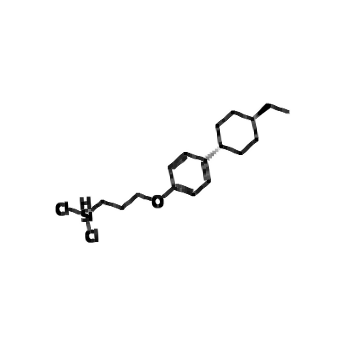 CC[C@H]1CC[C@H](c2ccc(OCCC[SiH](Cl)Cl)cc2)CC1